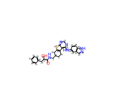 O=C(NCC1CCc2c(sc3ncnc(Nc4ccc5[nH]ncc5c4)c23)C1)[C@@H](O)Cc1ccccc1